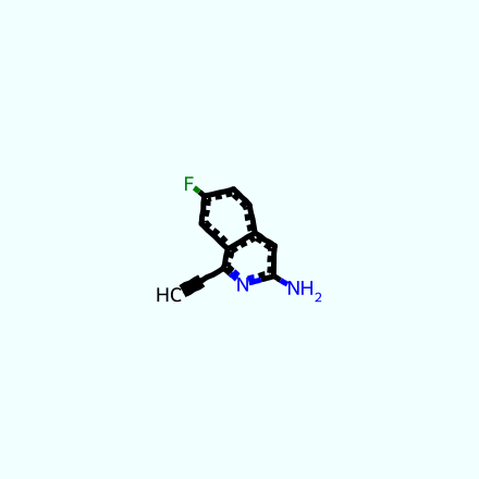 C#Cc1nc(N)cc2ccc(F)cc12